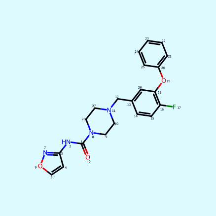 O=C(Nc1ccon1)N1CCN(Cc2ccc(F)c(Oc3ccccc3)c2)CC1